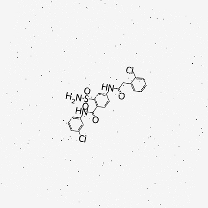 NS(=O)(=O)c1cc(NC(=O)Cc2ccccc2Cl)ccc1C(=O)Nc1cccc(Cl)c1